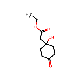 CCOC(=O)CC1(O)CCC(=O)CC1